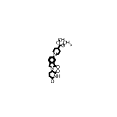 COC(OC)C1CCN(c2ccc3c(c2)C(=O)N(C2CCC(=O)NC2=O)C3)CC1